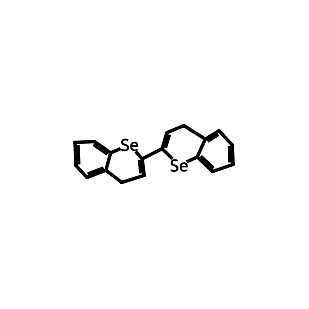 C1=C(C2=CCc3ccccc3[Se]2)[Se]c2ccccc2C1